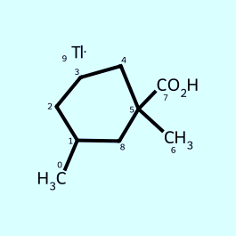 CC1CCCC(C)(C(=O)O)C1.[Tl]